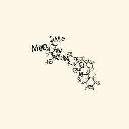 COc1cc2nc(N3CCC(CC4CCC4)(OC(=O)N(C)Cc4ccccc4)CC3)nc(O)c2cc1OC